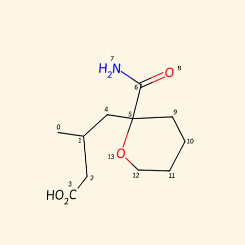 CC(CC(=O)O)CC1(C(N)=O)CCCCO1